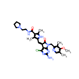 COc1c(C)cnc(CN2C(=O)C(=Cc3[nH]c(C)c(C(=O)NCCN4CCCC4)c3C)c3c(Cl)nc(N)nc32)c1C